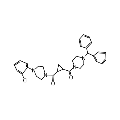 O=C(C1CC1C(=O)N1CCN(C(c2ccccc2)c2ccccc2)CC1)N1CCN(c2ccccc2Cl)CC1